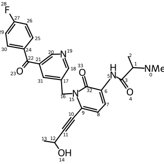 CNC(C)C(=O)Nc1ccc(C#CC(C)O)n(Cc2cncc(C(=O)c3ccc(F)cc3)c2)c1=O